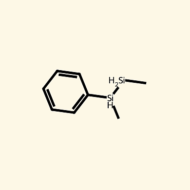 C[SiH2][SiH](C)c1ccccc1